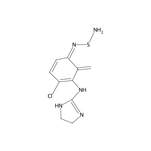 C=C1C(NC2=NCCN2)=C(Cl)C=C/C1=N/SN